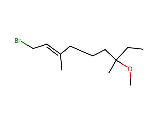 CCC(C)(CCC/C(C)=C/CBr)OC